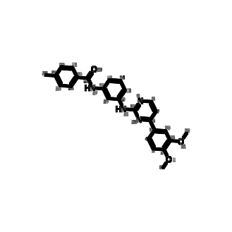 COc1ccc(-c2ccnc(Nc3cccc(NC(=O)c4ccc(C)cc4)c3)n2)cc1OC